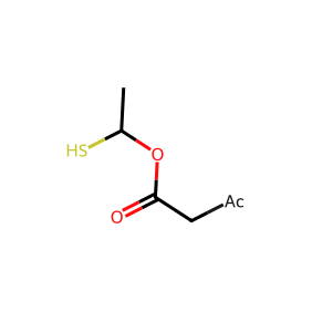 CC(=O)CC(=O)OC(C)S